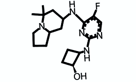 CC1(C)CC(Nc2nc(NC3CC[C@@H]3O)ncc2F)CC2CCCN21